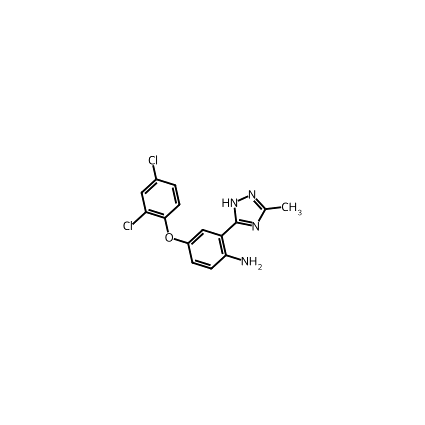 Cc1n[nH]c(-c2cc(Oc3ccc(Cl)cc3Cl)ccc2N)n1